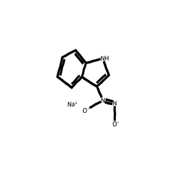 [Na+].[O-]N=[N+]([O-])c1c[nH]c2ccccc12